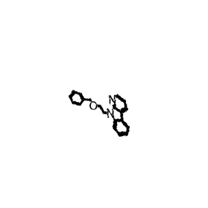 c1ccc(COCCn2c3ccccc3c3cccnc32)cc1